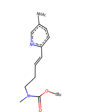 CC(=O)Nc1ccc(C=CCCN(C)C(=O)OC(C)(C)C)nc1